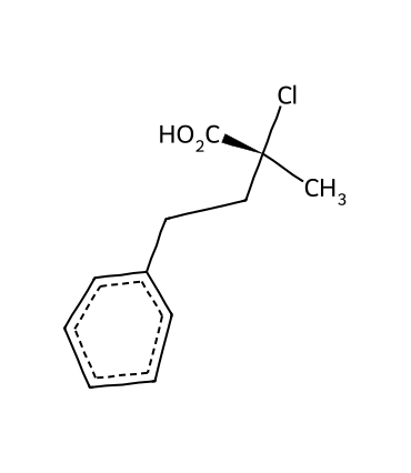 C[C@@](Cl)(CCc1ccccc1)C(=O)O